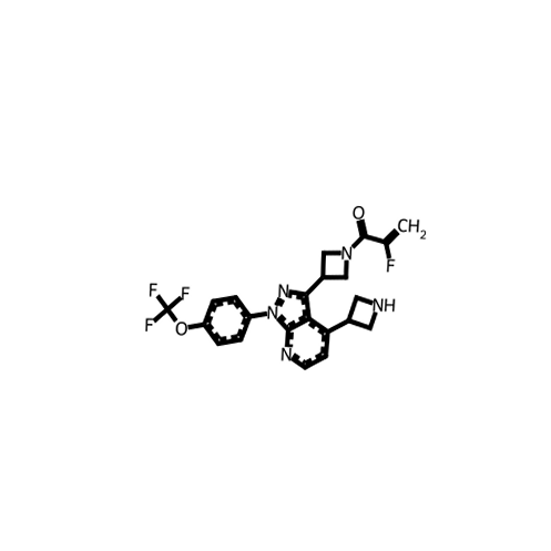 C=C(F)C(=O)N1CC(c2nn(-c3ccc(OC(F)(F)F)cc3)c3nccc(C4CNC4)c23)C1